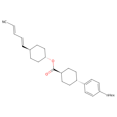 CCCCCCc1ccc([C@H]2CC[C@H](C(=O)O[C@H]3CC[C@H](C=CC=CC#N)CC3)CC2)cc1